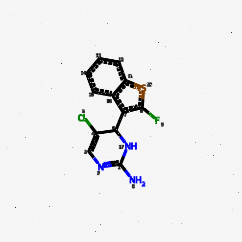 NC1=NC=C(Cl)C(c2c(F)sc3ccccc23)N1